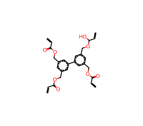 C=CC(=O)OCc1cc(COC(=O)C=C)cc(-c2cc(COC(=O)C=C)cc(COC(O)C=C)c2)c1